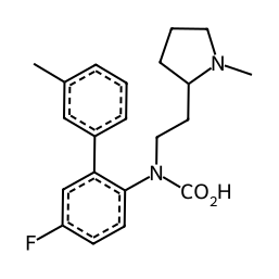 Cc1cccc(-c2cc(F)ccc2N(CCC2CCCN2C)C(=O)O)c1